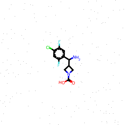 NC(c1cc(F)c(Cl)cc1F)C1CN(C(=O)O)C1